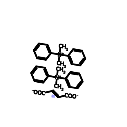 C[N+](C)(c1ccccc1)c1ccccc1.C[N+](C)(c1ccccc1)c1ccccc1.O=C([O-])/C=C/C(=O)[O-]